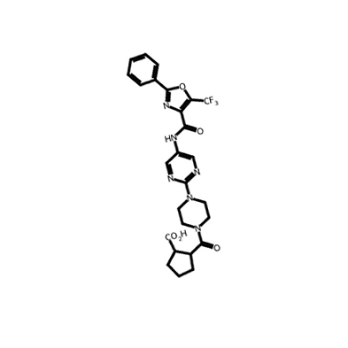 O=C(Nc1cnc(N2CCN(C(=O)C3CCCC3C(=O)O)CC2)nc1)c1nc(-c2ccccc2)oc1C(F)(F)F